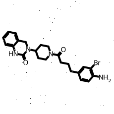 Nc1ccc(CCCC(=O)N2CCC(N3Cc4ccccc4NC3=O)CC2)cc1Br